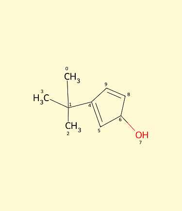 CC(C)(C)C1=CC(O)C=C1